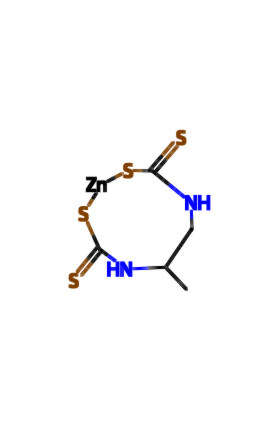 CC1CNC(=S)[S][Zn][S]C(=S)N1